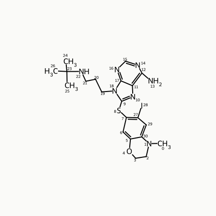 CN1CCOc2cc(Sc3nc4c(N)ncnc4n3CCCNC(C)(C)C)c(I)cc21